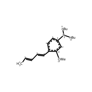 CC=CC=Cc1ccc(N(CCCC)CCCC)cc1OC